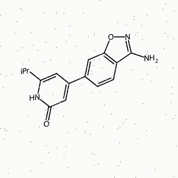 CC(C)c1cc(-c2ccc3c(N)noc3c2)cc(=O)[nH]1